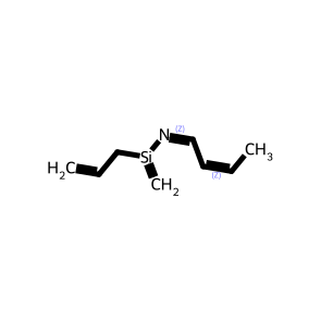 C=CC[Si](=C)/N=C\C=C/C